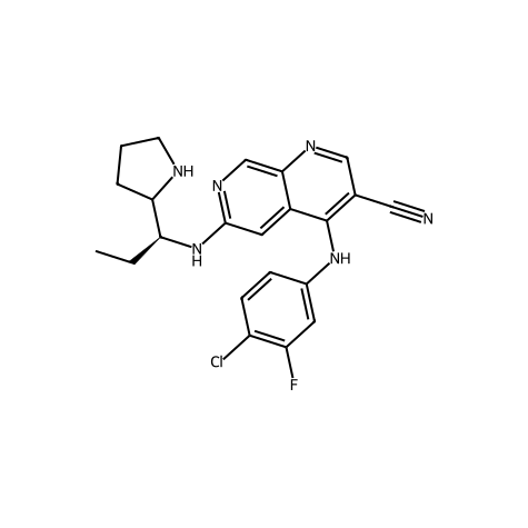 CC[C@H](Nc1cc2c(Nc3ccc(Cl)c(F)c3)c(C#N)cnc2cn1)C1CCCN1